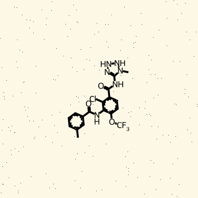 Cc1cccc(C(=O)Nc2c(OC(F)(F)F)ccc(C(=O)NC3=NNNN3C)c2Cl)c1